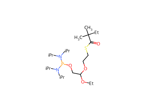 CCOC(COP(N(C(C)C)C(C)C)N(C(C)C)C(C)C)OCCSC(=O)C(C)(C)CC